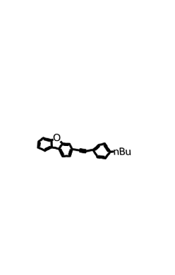 CCCCc1ccc(C#Cc2ccc3c(c2)oc2ccccc23)cc1